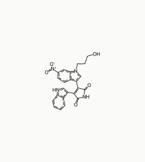 O=C1NC(=O)C(c2cn(CCCO)c3cc([N+](=O)[O-])ccc23)=C1c1c[nH]c2ccccc12